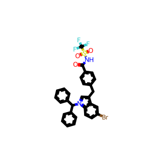 O=C(NS(=O)(=O)C(F)(F)F)c1ccc(Cc2cn(C(c3ccccc3)c3ccccc3)c3ccc(Br)cc23)cc1